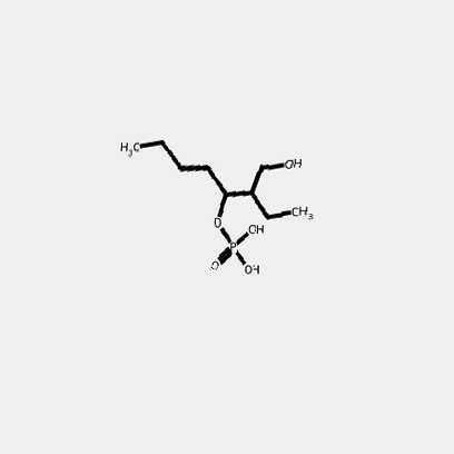 CCCCC(OP(=O)(O)O)C(CC)CO